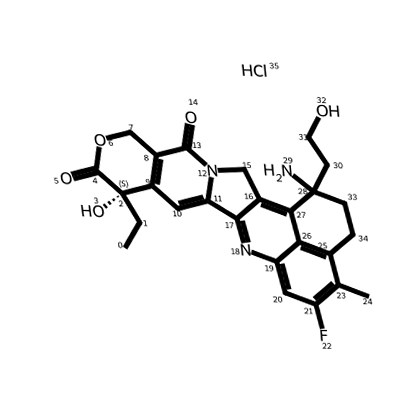 CC[C@@]1(O)C(=O)OCc2c1cc1n(c2=O)Cc2c-1nc1cc(F)c(C)c3c1c2C(N)(CCO)CC3.Cl